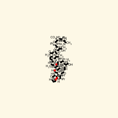 CC[C@H](C)[C@H](NC(=O)[C@H](C)N)C(=O)N[C@@H](CC(=O)O)C(=O)N[C@@H](CC(C)C)C(=O)N[C@H](C(=O)N[C@@H](CCC(N)=O)C(=O)N[C@H](C(=O)N1CCC[C@H]1C(=O)N[C@@H](C)C(=O)N[C@@H](CO)C(=O)N[C@H](C(=O)N[C@@H](CO)C(=O)N[C@@H](CCC(=O)O)C(=O)N1CCC[C@H]1C(=O)N[C@H](C(=O)NCC(=O)NCC(=O)N[C@H](C(=O)N[C@H](C(=O)N[C@H](C(=O)O)[C@@H](C)O)C(C)C)[C@@H](C)O)C(C)C)C(C)C)[C@@H](C)O)[C@@H](C)O